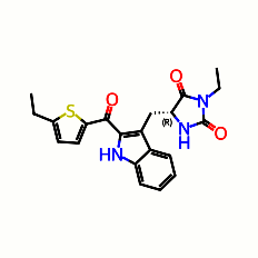 CCc1ccc(C(=O)c2[nH]c3ccccc3c2C[C@H]2NC(=O)N(CC)C2=O)s1